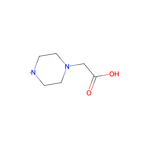 O=C(O)CN1CC[N]CC1